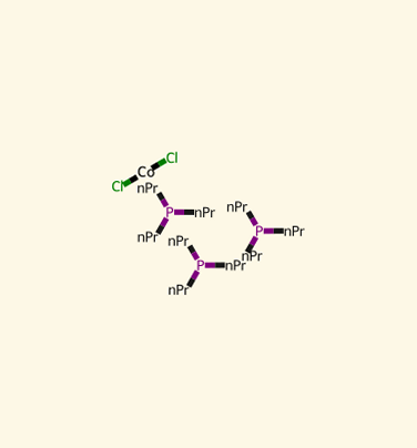 CCCP(CCC)CCC.CCCP(CCC)CCC.CCCP(CCC)CCC.[Cl][Co][Cl]